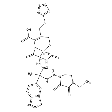 CCN1CCN(C(=O)NC(N)(C(=O)N[C@]2(NC=O)C(=O)N3C(C(=O)O)=C(CSc4nncs4)CS[C@H]32)c2ccc3[nH]ccc3c2)C(=O)C1=O